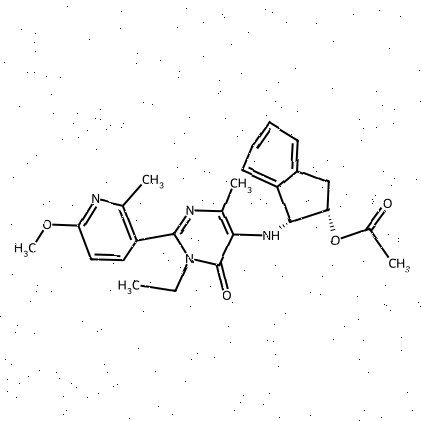 CCn1c(-c2ccc(OC)nc2C)nc(C)c(N[C@@H]2c3ccccc3C[C@@H]2OC(C)=O)c1=O